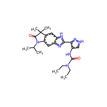 CCN(CC)C(=O)Nc1c[nH]nc1-c1nc2cc3c(cc2[nH]1)C(C)(C)C(=O)N3C(C)C